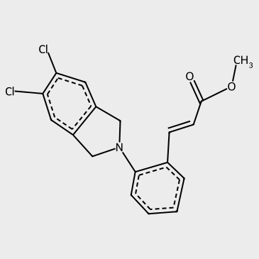 COC(=O)/C=C/c1ccccc1N1Cc2cc(Cl)c(Cl)cc2C1